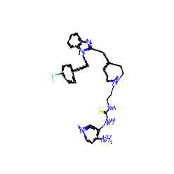 Nc1ccncc1NC(=S)NCCN1CCC(Cc2nc3ccccc3n2Cc2ccc(F)cc2)CC1